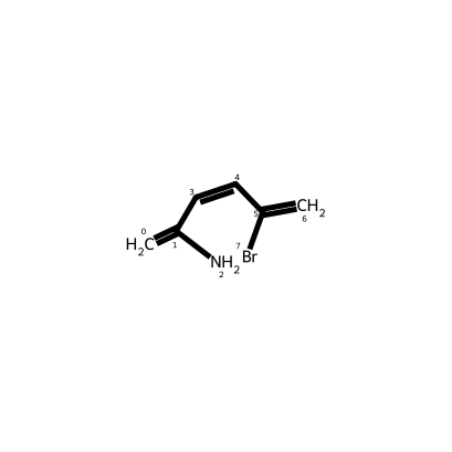 C=C(N)/C=C\C(=C)Br